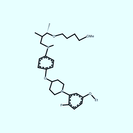 CCOc1ccc(F)c(N2CCC(Oc3ccc(N(C)CC(C)[C@H](C)OCCCCOC)cc3)CC2)c1